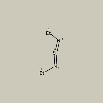 CCN=[Si]=NCC